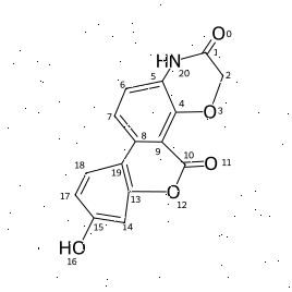 O=C1COc2c(ccc3c2c(=O)oc2cc(O)ccc23)N1